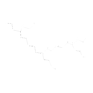 CCOC(CCPCCN(CCOC)CCPCCC(OCC)OCC)OCC